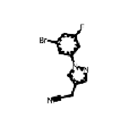 N#CCc1cnn(-c2cc(F)cc(Br)c2)c1